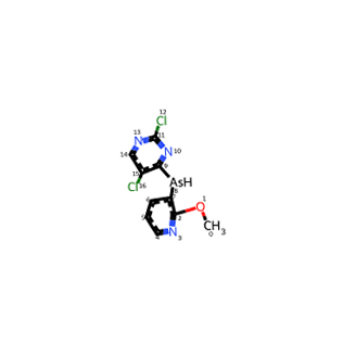 COc1ncccc1[AsH]c1nc(Cl)ncc1Cl